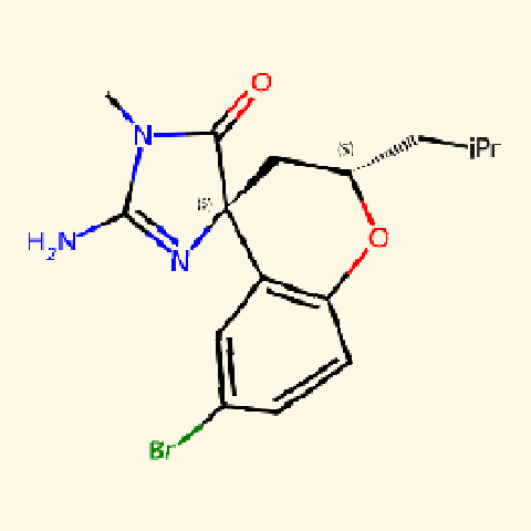 CC(C)C[C@H]1C[C@]2(N=C(N)N(C)C2=O)c2cc(Br)ccc2O1